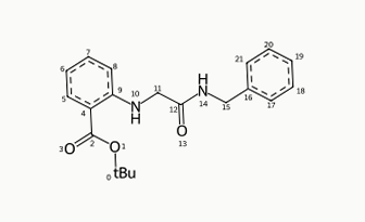 CC(C)(C)OC(=O)c1ccccc1NCC(=O)NCc1ccccc1